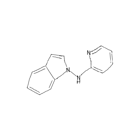 c1ccc(Nn2ccc3ccccc32)nc1